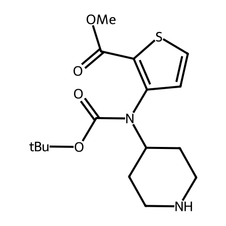 COC(=O)c1sccc1N(C(=O)OC(C)(C)C)C1CCNCC1